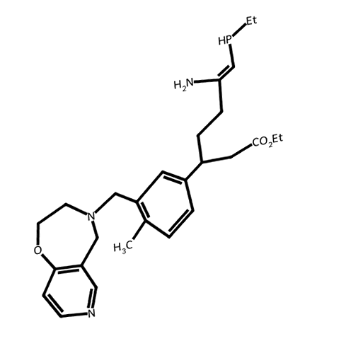 CCOC(=O)CC(CC/C(N)=C/PCC)c1ccc(C)c(CN2CCOc3ccncc3C2)c1